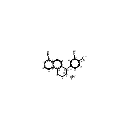 CCC[C@@H]1CCc2c(ccc3c(F)cccc23)[C@H]1c1ccc(C(F)(F)F)c(F)c1